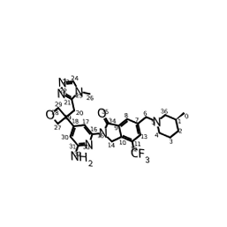 C[C@H]1CCCN(Cc2cc3c(c(C(F)(F)F)c2)CN(c2cc(C4(Cc5nncn5C)COC4)cc(N)n2)C3=O)C1